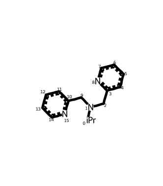 CC(C)N(Cc1ccccn1)Cc1ccccn1